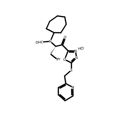 CC(C)C[C@@H](C(=O)c1nnc(SCc2ccccn2)o1)N(C=O)C1CCCCCC1.Cl